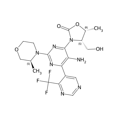 C[C@H]1OC(=O)N(c2nc(N3CCOC[C@@H]3C)nc(-c3cncnc3C(F)(F)F)c2N)[C@H]1CO